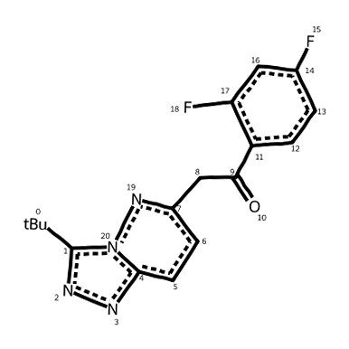 CC(C)(C)c1nnc2ccc(CC(=O)c3ccc(F)cc3F)nn12